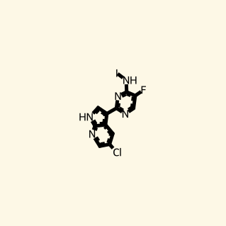 Fc1cnc(-c2c[nH]c3ncc(Cl)cc23)nc1NI